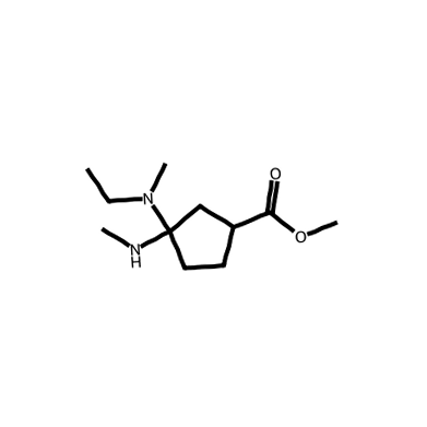 CCN(C)C1(NC)CCC(C(=O)OC)C1